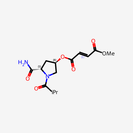 COC(=O)/C=C/C(=O)O[C@@H]1C[C@@H](C(N)=O)N(C(=O)C(C)C)C1